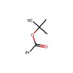 [CH2]C(C)C(=O)OC(C)(C)C#N